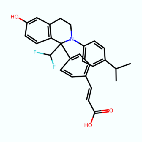 CC(C)c1ccc(N2CCc3cc(O)ccc3C2(c2ccc(C=CC(=O)O)cc2)C(F)F)cc1